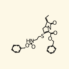 CC=C1C(=O)N2C(C(=O)OCc3ccccc3)=C(SCCNC(=O)OCc3ccccc3)CC12